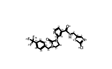 O=C(NCc1cnc(Cl)s1)c1ccnc(N2CCN(Cc3ccc(C(F)(F)F)cc3)C2=O)c1